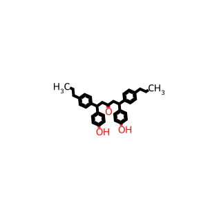 CCCc1ccc(C(CC(=O)CC(c2ccc(O)cc2)c2ccc(CCC)cc2)c2ccc(O)cc2)cc1